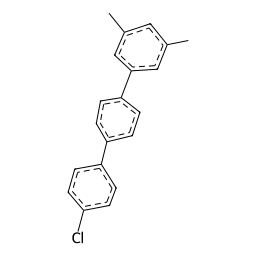 Cc1cc(C)cc(-c2ccc(-c3ccc(Cl)cc3)cc2)c1